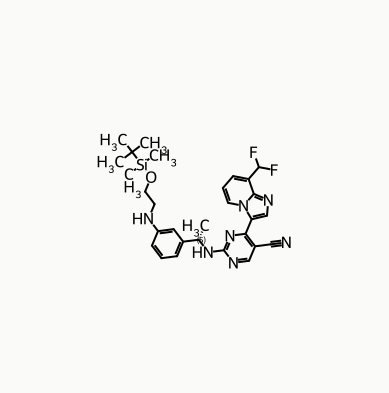 C[C@H](Nc1ncc(C#N)c(-c2cnc3c(C(F)F)cccn23)n1)c1cccc(NCCO[Si](C)(C)C(C)(C)C)c1